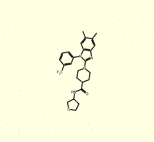 Cc1cc2nc(N3CCC(C(=O)NC4CCOC4)CC3)n(-c3cccc(C(F)(F)F)c3)c2cc1C